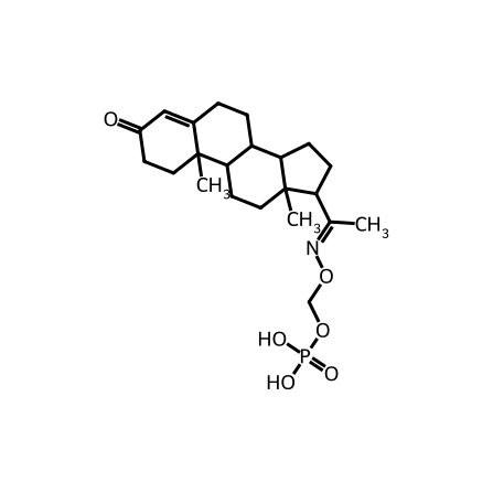 CC(=NOCOP(=O)(O)O)C1CCC2C3CCC4=CC(=O)CCC4(C)C3CCC12C